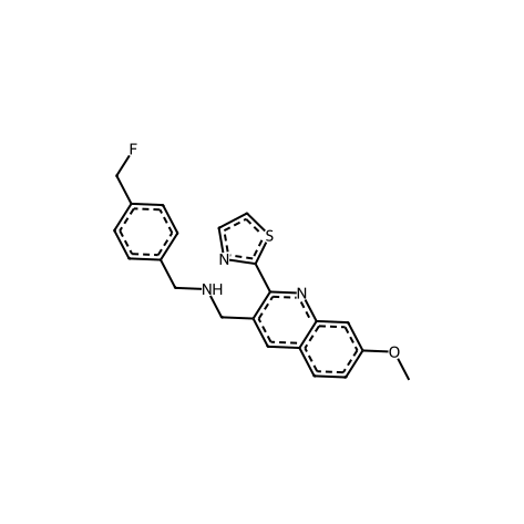 COc1ccc2cc(CNCc3ccc(CF)cc3)c(-c3nccs3)nc2c1